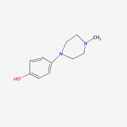 CN1CCN(c2[c]cc(O)cc2)CC1